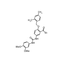 CCC(=O)c1cc(NC(=O)Nc2ccc(OC)c(OC)c2)ccc1OCc1ccc(C)cc1C